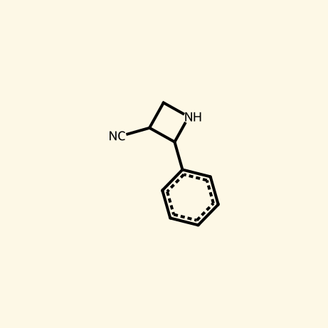 N#CC1CNC1c1ccccc1